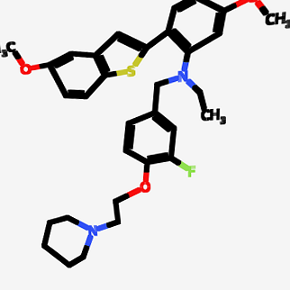 CCN(Cc1ccc(OCCN2CCCCC2)c(F)c1)c1cc(OC)ccc1-c1cc2cc(OC)ccc2s1